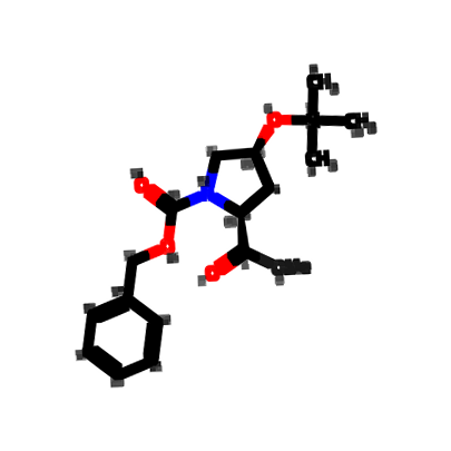 COC(=O)[C@@H]1C[C@H](O[Si](C)(C)C)CN1C(=O)OCc1ccccc1